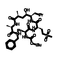 CC(C)C[C@H](NC(=O)[C@H](CCS(C)(=O)=O)NC(=O)[C@@H](NC(=O)OC(C)(C)C)C(C)C)[C@@H](O)C[C@@H](C)C(=O)N[C@@H](C)C(=O)NCc1ccccc1